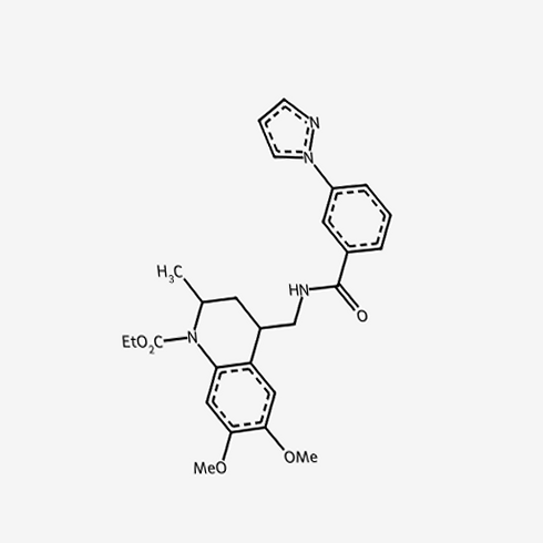 CCOC(=O)N1c2cc(OC)c(OC)cc2C(CNC(=O)c2cccc(-n3cccn3)c2)CC1C